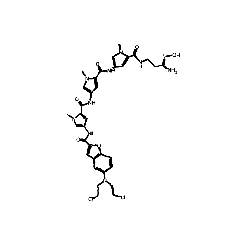 Cn1cc(NC(=O)c2cc(NC(=O)c3cc(NC(=O)c4cc5cc(N(CCCl)CCCl)ccc5o4)cn3C)cn2C)cc1C(=O)NCCC(N)=NO